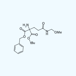 COCNC(=O)CCC(N)(C(=O)OCc1ccccc1)C(=O)OC(C)(C)C